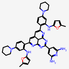 Cc1ccc(Nc2cc(N3CCCCC3)ccc2C2=CC3=CC(c4ccc(N5CCCCC5)cc4Nc4ccc(C)o4)=NC4=NC(c5cc(N)nc(N)c5)=NC(=N2)C34)o1